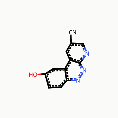 N#Cc1cnc2nnc3ccc(O)cc3c2c1